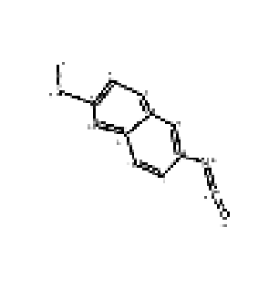 CSc1ccc2cc(N=C=O)ccc2c1